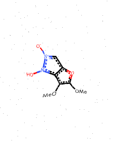 COc1oc2c[n+]([O-])n(O)c2c1OC